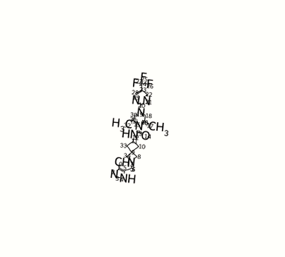 Cc1nc[nH]c1CN1CC2(CC(NC(=O)N3[C@H](C)CN(c4ncc(C(F)(F)F)cn4)C[C@@H]3C)C2)C1